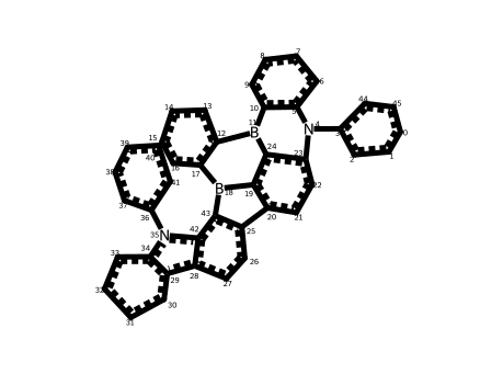 c1ccc(N2c3ccccc3B3c4ccccc4B4c5c(ccc2c53)-c2ccc3c5ccccc5n(-c5ccccc5)c3c24)cc1